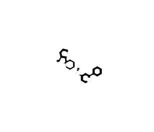 O=C1O[C@]2(CC[C@@H](C(=O)Nc3ccnc(-c4ccccc4)c3)CC2)c2ncccc21